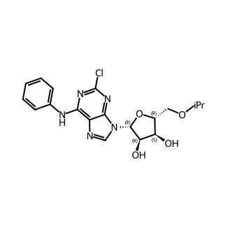 CC(C)OC[C@H]1O[C@@H](n2cnc3c(Nc4ccccc4)nc(Cl)nc32)[C@H](O)[C@@H]1O